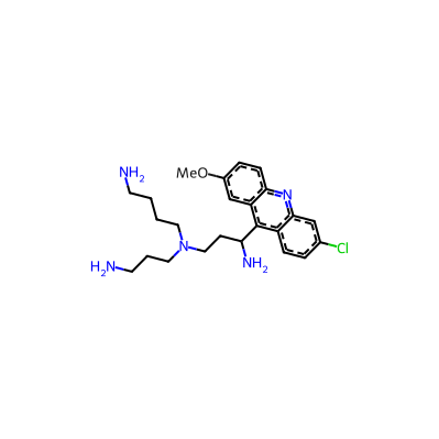 COc1ccc2nc3cc(Cl)ccc3c(C(N)CCN(CCCN)CCCCN)c2c1